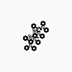 C=C(/C=C1\C2=C(C)N(c3ccccc3)c3c(cc4c(c3C)N(c3ccccc3)c3cc(N(c5ccccc5)c5ccccc5)cc5c3B4Sc3ccccc3-5)B2Sc2ccccc21)N(c1ccccc1)c1ccccc1